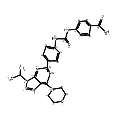 CC(C)n1nnc2c(N3CCOCC3)nc(-c3ccc(NC(=O)Nc4ccc(C(N)=O)cc4)cc3)nc21